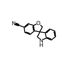 N#Cc1ccc2c(c1)OCC21CNc2ccccc21